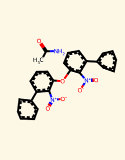 CC(N)=O.O=[N+]([O-])c1c(Oc2cccc(-c3ccccc3)c2[N+](=O)[O-])cccc1-c1ccccc1